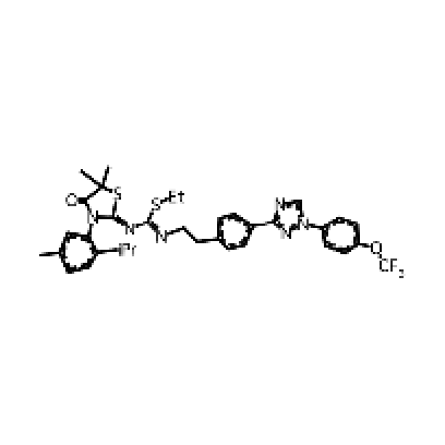 CCSC(=N\CCc1ccc(-c2ncn(-c3ccc(OC(F)(F)F)cc3)n2)cc1)/N=C1\SC(C)(C)C(=O)N1c1cc(C)ccc1C(C)C